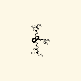 CC(C)OC(=O)OCOc1cccc2c1c(CCN(C)C)cn2COC(=O)OC(C)C